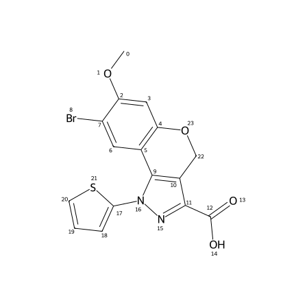 COc1cc2c(cc1Br)-c1c(c(C(=O)O)nn1-c1cccs1)CO2